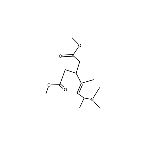 COC(=O)CC(CC(=O)OC)/C(C)=C/C(C)N(C)C